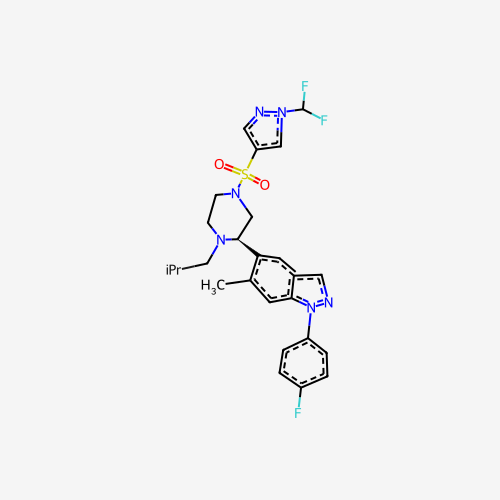 Cc1cc2c(cnn2-c2ccc(F)cc2)cc1[C@@H]1CN(S(=O)(=O)c2cnn(C(F)F)c2)CCN1CC(C)C